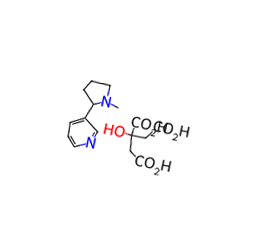 CN1CCCC1c1cccnc1.O=C(O)CC(O)(CC(=O)O)C(=O)O